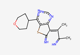 CC(=N)/C(C)=C1\C(=N)Sc2c1ncnc2C1CCOCC1